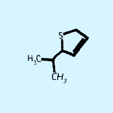 CC(C)C1C=CCS1